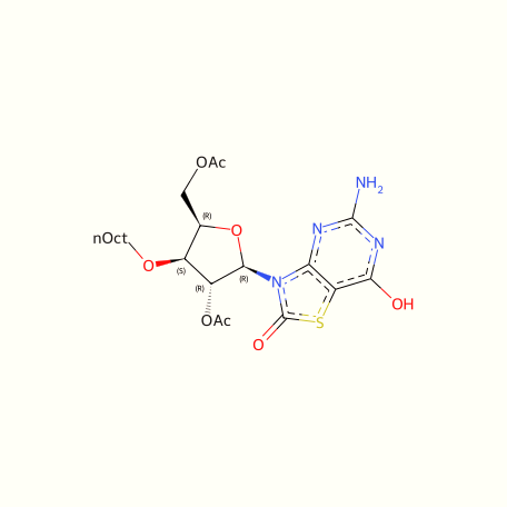 CCCCCCCCO[C@@H]1[C@@H](OC(C)=O)[C@H](n2c(=O)sc3c(O)nc(N)nc32)O[C@@H]1COC(C)=O